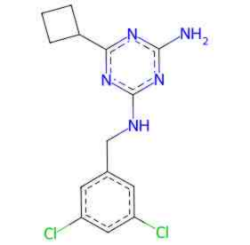 Nc1nc(NCc2cc(Cl)cc(Cl)c2)nc(C2CCC2)n1